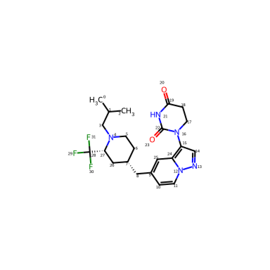 CC(C)CN1CC[C@H](Cc2ccn3ncc(N4CCC(=O)NC4=O)c3c2)C[C@@H]1C(F)(F)F